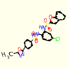 Cc1nnc(-c2ccc(S(=O)(=O)Nc3ccc(Cl)cc3NS(=O)(=O)c3cc4ccccc4o3)cc2)o1